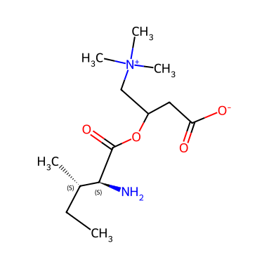 CC[C@H](C)[C@H](N)C(=O)OC(CC(=O)[O-])C[N+](C)(C)C